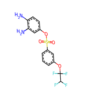 Nc1ccc(OS(=O)(=O)c2cccc(OC(F)(F)C(F)F)c2)cc1N